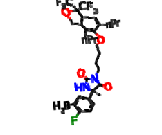 Bc1cc(C2(C)NC(=O)N(CCCCOC3=C(CCC)C4COC(C(F)(F)F)(C(F)(F)F)C4C=C3CCC)C2=O)ccc1F